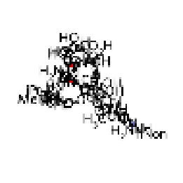 CCCCCCCCCN/C(N)=N/c1ccc(CNC2(CC)C[C@H](OC3C(O)[C@H](O)C(CO)O[C@H]3Oc3c4cc5cc3Oc3ccc(cc3Cl)[C@@H](O)[C@@H]3NC(=O)[C@H](NC(=O)[C@@H]5NC(=O)C(CC(N)=O)NC(=O)[C@H](NC(=O)[C@@H](CC(C)C)NC)[C@H](O)c5ccc(cc5)O4)c4ccc(O)c(c4)-c4c(O)cc(O)cc4[C@@H](C(=O)O)NC3=O)OC(C)[C@H]2O)cc1